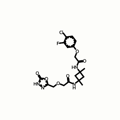 CC1(NC(=O)COCc2n[nH]c(=O)o2)CC(C)(NC(=O)COc2ccc(Cl)c(F)c2)C1